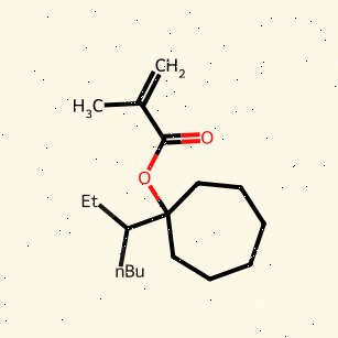 C=C(C)C(=O)OC1(C(CC)CCCC)CCCCCC1